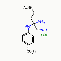 Br.CC(=O)NCCC(N)(C=N)Nc1ccc(C(=O)O)cc1